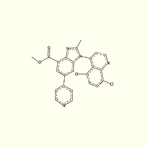 COC(=O)c1cc(-c2ccncc2)cc2c1nc(C)n2-c1ccnc2c(Cl)ccc(Cl)c12